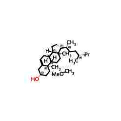 CC(C)[C@H](C)CC[C@@H](C)[C@H]1CC[C@H]2[C@@H]3CC=C4C[C@@H](O)CC[C@]4(C)[C@H]3CC[C@]12C.COC